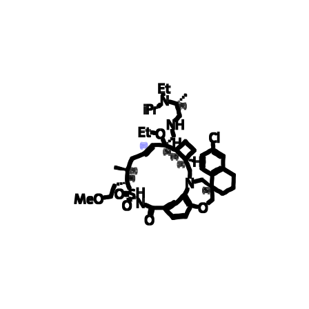 CCO[C@]1(CNC[C@@H](C)N(CC)C(C)C)/C=C/C[C@H](C)[C@@H](CCOC)S(=O)(=O)NC(=O)c2ccc3c(c2)N(C[C@@H]2CC[C@H]21)C[C@@]1(CCCc2cc(Cl)ccc21)CO3